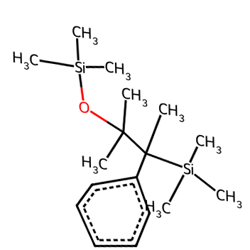 CC(C)(O[Si](C)(C)C)C(C)(c1ccccc1)[Si](C)(C)C